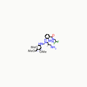 C=C(/C=C(OC)\C(=C\OC)OC)NCNC(Nc1ccccc1C(=O)NCC(F)F)[C@@H](C)CN